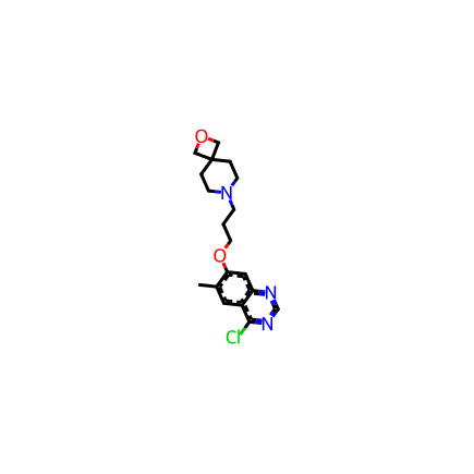 Cc1cc2c(Cl)ncnc2cc1OCCCN1CCC2(CC1)COC2